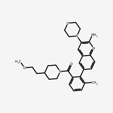 COCCC1CCN(C(=O)c2cccc(C)c2-c2ccc3nc(N)c(N4CCOCC4)cc3c2)CC1